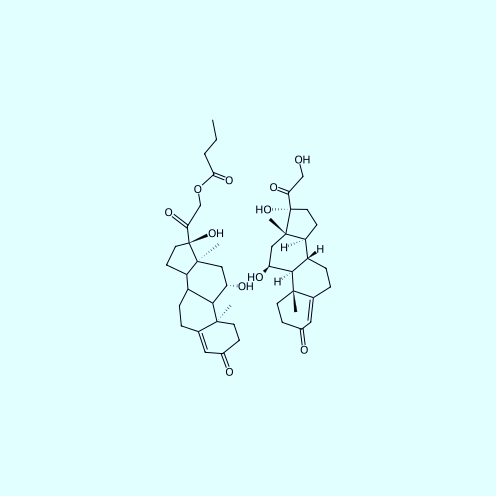 CCCC(=O)OCC(=O)[C@@]1(O)CCC2C3CCC4=CC(=O)CC[C@]4(C)C3[C@@H](O)C[C@@]21C.C[C@]12CCC(=O)C=C1CC[C@@H]1[C@@H]2[C@@H](O)C[C@@]2(C)[C@H]1CC[C@]2(O)C(=O)CO